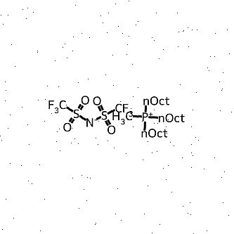 CCCCCCCC[P+](C)(CCCCCCCC)CCCCCCCC.O=S(=O)([N-]S(=O)(=O)C(F)(F)F)C(F)(F)F